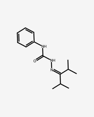 CC(C)C(=NNC(=O)Nc1ccccc1)C(C)C